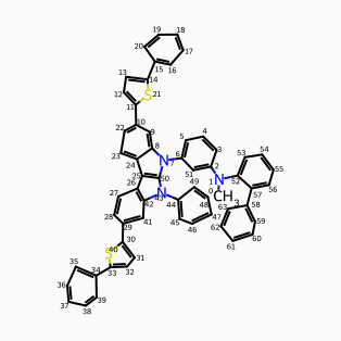 CN(c1cccc(-n2c3cc(-c4ccc(-c5ccccc5)s4)ccc3c3c4ccc(-c5ccc(-c6ccccc6)s5)cc4n(-c4ccccc4)c32)c1)c1ccccc1-c1ccccc1